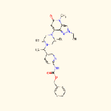 CC[C@H]1CN(C(C)c2ccc(NC(=O)OCc3ccccc3)nc2)[C@H](CC)CN1c1cc(=O)n(C)c2cn(CC#N)nc12